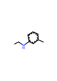 [CH2]CNc1cccc(C)c1